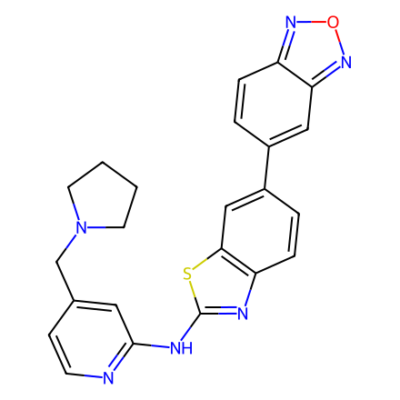 c1cc(CN2CCCC2)cc(Nc2nc3ccc(-c4ccc5nonc5c4)cc3s2)n1